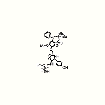 CCCCC1(CCCC)CN(c2ccccc2)c2cc(SC)c(OCC(=O)N[C@@H](C(=O)NCCP(=O)(O)OC(C)C)c3ccc(O)cc3)cc2S(=O)(=O)C1